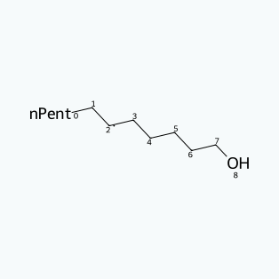 CCCCCC[CH]CCCCCO